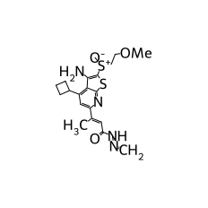 C=NNC(=O)/C=C(\C)c1cc(C2CCC2)c2c(N)c([S+]([O-])CCOC)sc2n1